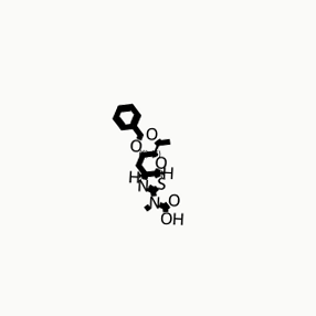 CC(=O)[C@H]1O[C@@H]2SC(N(C)C(=O)O)=N[C@@H]2C[C@@H]1OCc1ccccc1